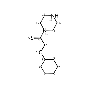 S=C(COC1CCCCC1)N1CCNCC1